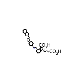 O=C(O)CCCn1cc(C(=O)O)c2c(/C=C/c3ccc(OCC4Cc5ccccc5C4)cc3)cccc21